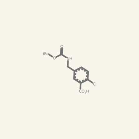 CC(C)(C)OC(=O)NCc1ccc(Cl)c(C(=O)O)c1